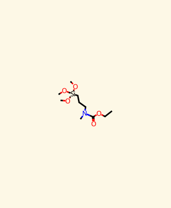 CCOC(=O)N(C)CCC[Si](OC)(OC)OC